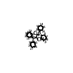 CC([C@@H](C)P(c1ccccc1)c1ccccc1)P(c1ccccc1)c1ccccc1